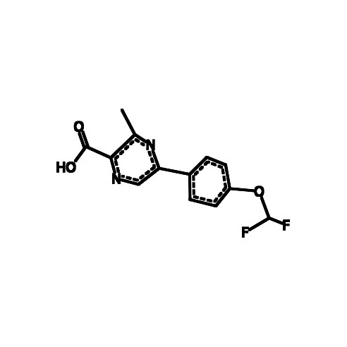 Cc1nc(-c2ccc(OC(F)F)cc2)cnc1C(=O)O